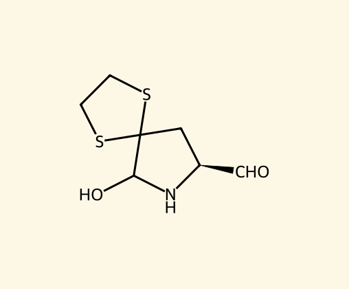 O=C[C@@H]1CC2(SCCS2)C(O)N1